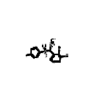 [C-]#[N+]C(c1cccc(F)c1F)S(=O)(=O)c1ccc(C)cc1